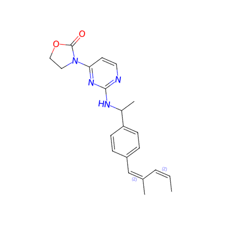 C/C=C\C(C)=C/c1ccc(C(C)Nc2nccc(N3CCOC3=O)n2)cc1